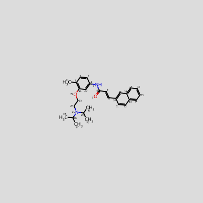 Cc1ccc(NC(=O)C=Cc2ccc3ccccc3c2)cc1OCCN(C(C)C)C(C)C